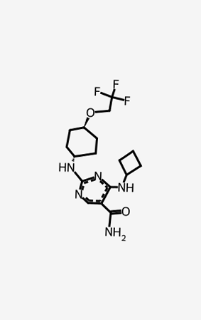 NC(=O)c1cnc(N[C@H]2CC[C@H](OCC(F)(F)F)CC2)nc1NC1CCC1